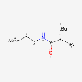 COCCNC(=O)C(C(C)C)C(C)(C)C